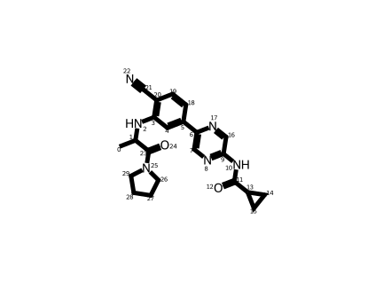 CC(Nc1cc(-c2cnc(NC(=O)C3CC3)cn2)ccc1C#N)C(=O)N1CCCC1